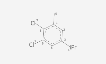 Cc1cc(C(C)C)cc(Cl)c1Cl